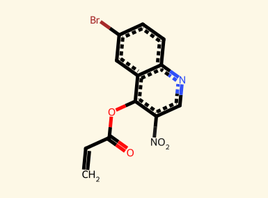 C=CC(=O)Oc1c([N+](=O)[O-])cnc2ccc(Br)cc12